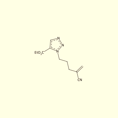 C=C(C#N)CCCn1nncc1C(=O)OCC